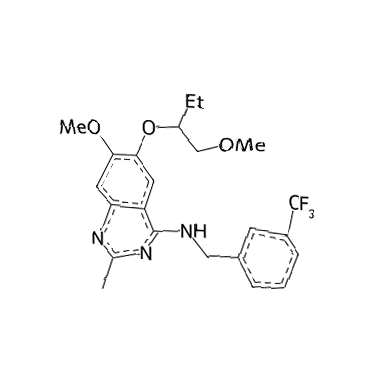 CCC(COC)Oc1cc2c(NCc3cccc(C(F)(F)F)c3)nc(C)nc2cc1OC